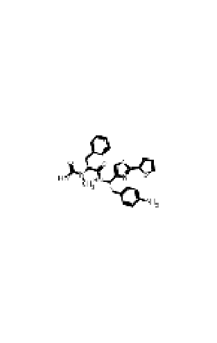 CN(C(=O)O)[C@@H](Cc1ccccc1)C(=O)N[C@@H](Cc1ccc(N)cc1)c1csc(-c2cccs2)n1